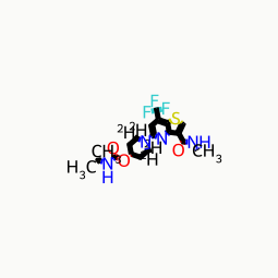 [2H]C1([2H])CC(OC(=O)NC(C)C)CC([2H])([2H])N1c1cc(C(F)(F)F)c2scc(C(=O)NC)c2n1